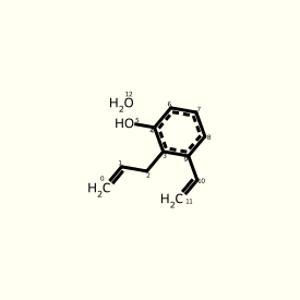 C=CCc1c(O)cccc1C=C.O